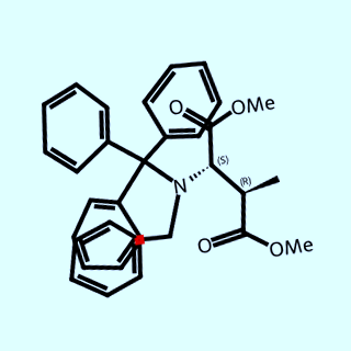 COC(=O)[C@H]([C@@H](C)C(=O)OC)N(Cc1ccccc1)C(c1ccccc1)(c1ccccc1)c1ccccc1